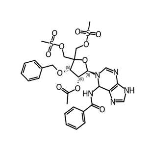 CC(=O)O[C@H]1[C@H](N2C=Nc3[nH]cnc3C2NC(=O)c2ccccc2)OC(COS(C)(=O)=O)(COS(C)(=O)=O)[C@H]1OCc1ccccc1